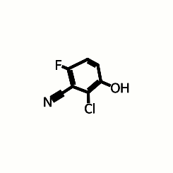 N#Cc1c(F)ccc(O)c1Cl